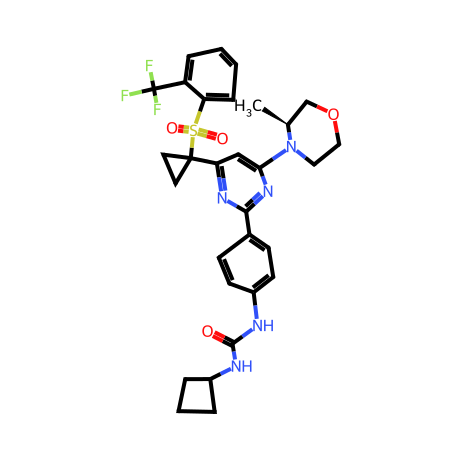 C[C@H]1COCCN1c1cc(C2(S(=O)(=O)c3ccccc3C(F)(F)F)CC2)nc(-c2ccc(NC(=O)NC3CCC3)cc2)n1